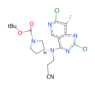 CC(C)(C)OC(=O)N1CC[C@@H](N(CCC#N)c2nc(Cl)nc3c(F)c(Cl)ncc23)C1